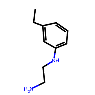 CCc1cccc(NCCN)c1